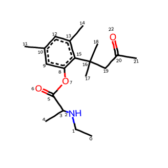 CCNC(C)C(=O)Oc1cc(C)cc(C)c1C(C)(C)CC(C)=O